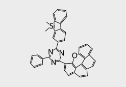 C[Si]1(C)c2ccccc2-c2ccc(-c3nc(-c4ccccc4)nc(-c4ccc5ccc6ccc7cccc8c7c6c5c4O8)n3)cc21